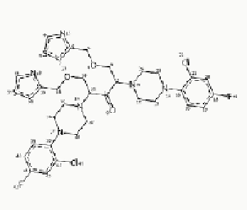 O=C(C(COCc1cscn1)N1CCN(c2ccc(F)cc2Cl)CC1)C(COCc1cscn1)N1CCN(c2ccc(F)cc2Cl)CC1